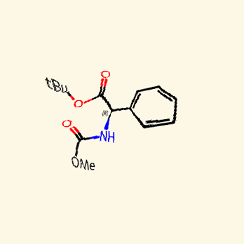 COC(=O)N[C@@H](C(=O)OC(C)(C)C)c1ccccc1